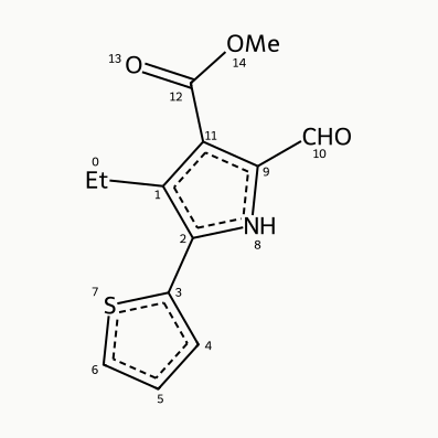 CCc1c(-c2cccs2)[nH]c(C=O)c1C(=O)OC